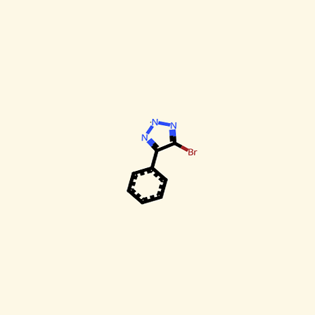 BrC1=N[N]N=C1c1ccccc1